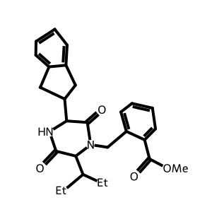 CCC(CC)C1C(=O)NC(C2Cc3ccccc3C2)C(=O)N1Cc1ccccc1C(=O)OC